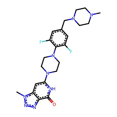 CN1CCN(Cc2cc(F)c(N3CCN(c4cc5c(nnn5C)c(=O)[nH]4)CC3)c(F)c2)CC1